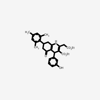 CCOC(=O)CC1=C(C(=O)OCC)C(c2cccc(O)c2)C2=C(CC(c3c(C)cc(C)cc3C)CC2=O)N1